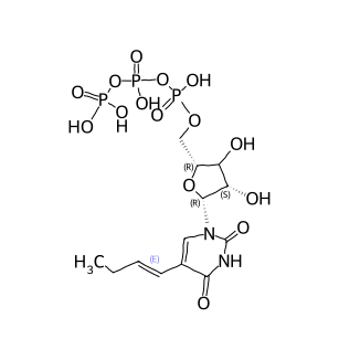 CC/C=C/c1cn([C@@H]2O[C@H](COP(=O)(O)OP(=O)(O)OP(=O)(O)O)C(O)[C@@H]2O)c(=O)[nH]c1=O